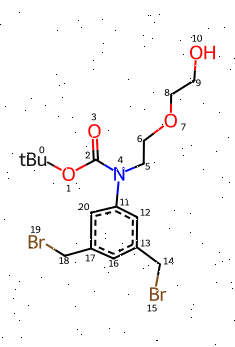 CC(C)(C)OC(=O)N(CCOCCO)c1cc(CBr)cc(CBr)c1